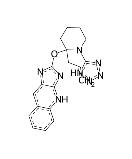 C=CCC1(Oc2nc3cc4ccccc4[nH]c-3n2)CCCCN1c1nnn[nH]1